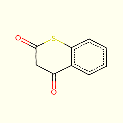 O=C1CC(=O)c2ccccc2S1